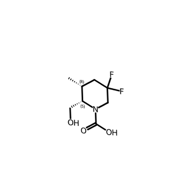 C[C@@H]1CC(F)(F)CN(C(=O)O)[C@@H]1CO